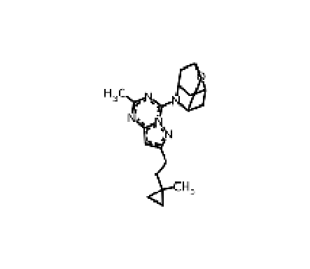 Cc1nc(N2C3CC4CC2CC(C3)O4)n2nc(CCC3(C)CC3)cc2n1